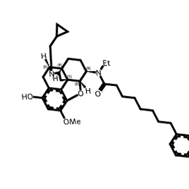 CCN(C(=O)CCCCCCCc1ccccc1)[C@@H]1CC[C@H]2[C@H]3Cc4c(O)cc(OC)c5c4[C@@]2(CCN3CC2CC2)[C@H]1O5